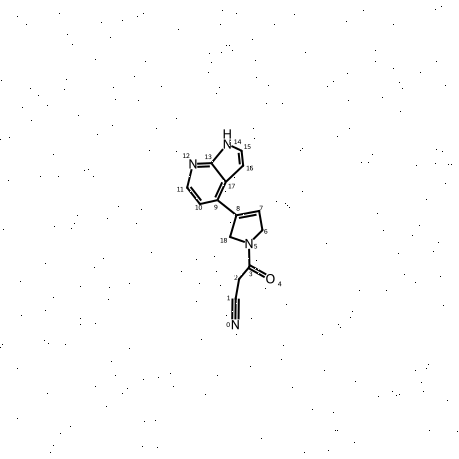 N#CCC(=O)N1CC=C(c2ccnc3[nH]ccc23)C1